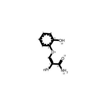 CCCC(=COc1ccccc1O)C(N)=O